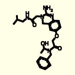 CC(C)CNC(=O)CN1Cc2cc(OCC(=O)N(Cc3ccccc3)C(C)O)ccc2N=C1N